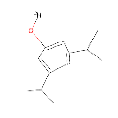 [2H]Oc1cc(C(C)C)cc(C(C)C)c1